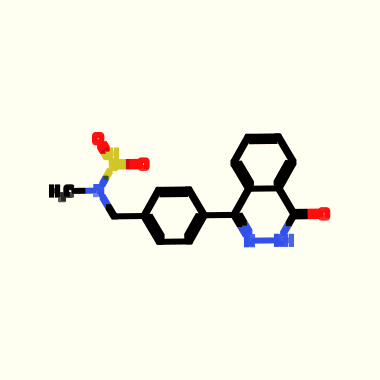 CN(Cc1ccc(-c2n[nH]c(=O)c3ccccc23)cc1)[SH](=O)=O